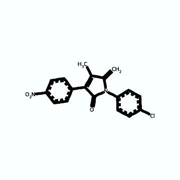 C=C1C(C)=C(c2ccc([N+](=O)[O-])cc2)C(=O)N1c1ccc(Cl)cc1